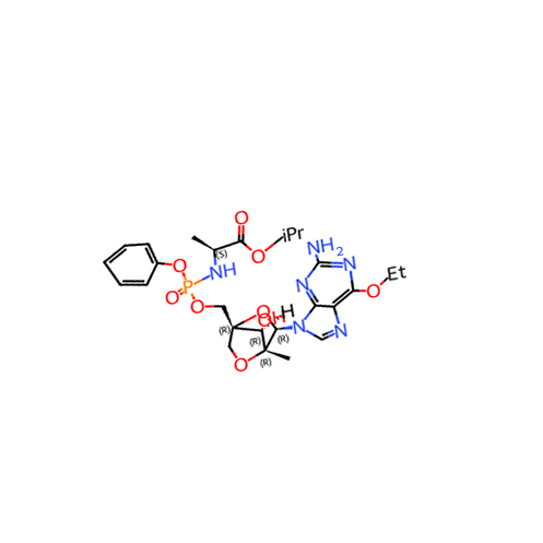 CCOc1nc(N)nc2c1ncn2[C@@H]1O[C@@]2(COP(=O)(N[C@@H](C)C(=O)OC(C)C)Oc3ccccc3)CO[C@]1(C)[C@@H]2O